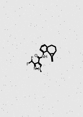 C=C1C2CCCc3cccc(NC(=O)c4cn(C)nc4C(F)F)c3C12